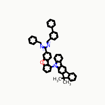 CC1(C)c2ccccc2-c2cc3c4ccccc4n(-c4cccc5oc6cc(C(=N/Cc7ccccc7)/N=C/c7cccc(-c8ccccc8)c7)ccc6c45)c3cc21